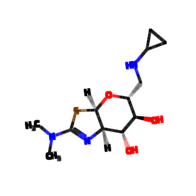 CN(C)C1=N[C@@H]2[C@@H](O)[C@H](O)[C@@H](CNC3CC3)O[C@@H]2S1